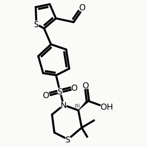 CC1(C)SCCN(S(=O)(=O)c2ccc(-c3sccc3C=O)cc2)[C@H]1C(=O)O